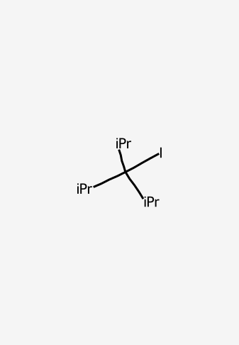 CC(C)C(I)(C(C)C)C(C)C